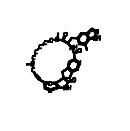 Cc1cc(CC2NC(=O)c3cc4c(cn3)CC3(C4)C(=O)Nc4ncc(cc43)C=CCN(C)CCCCCN(C)C2=O)cc2cn[nH]c12